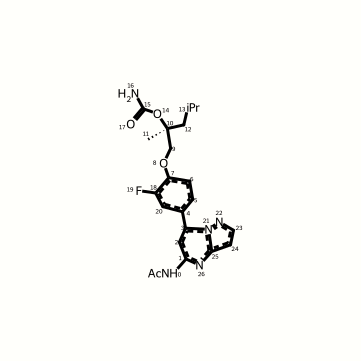 CC(=O)Nc1cc(-c2ccc(OC[C@](C)(CC(C)C)OC(N)=O)c(F)c2)n2nccc2n1